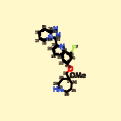 COC1(COc2cc(F)c3nc(-c4nnc5ccccn45)ccc3c2)CCCNCC1